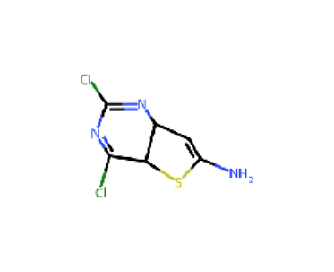 NC1=CC2N=C(Cl)N=C(Cl)C2S1